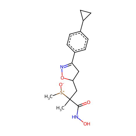 C[S+]([O-])C(C)(CC1CC(c2ccc(C3CC3)cc2)=NO1)C(=O)NO